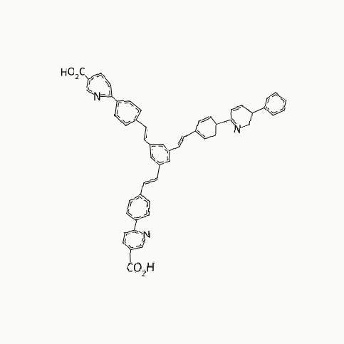 O=C(O)c1ccc(-c2ccc(/C=C/c3cc(/C=C/C4=CCC(C5=NCC(c6ccccc6)C=C5)C=C4)cc(/C=C/c4ccc(-c5ccc(C(=O)O)cn5)cc4)c3)cc2)nc1